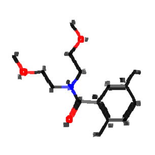 COCCN(CCOC)C(=O)c1cc(C)ccc1C